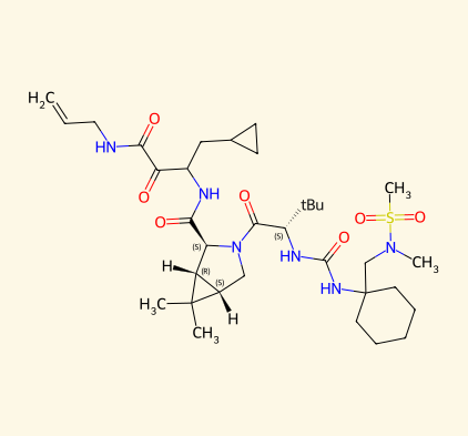 C=CCNC(=O)C(=O)C(CC1CC1)NC(=O)[C@@H]1[C@@H]2[C@H](CN1C(=O)[C@@H](NC(=O)NC1(CN(C)S(C)(=O)=O)CCCCC1)C(C)(C)C)C2(C)C